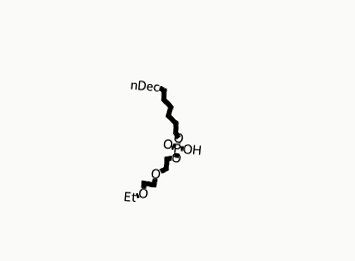 CCCCCCCCCCCCCCCCOP(=O)(O)OCCOCCOCC